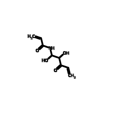 C=CC(=O)NC(O)C(O)C(=O)C=C